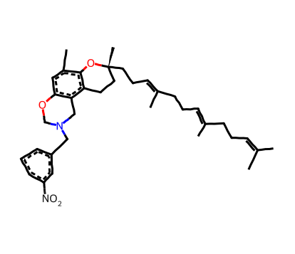 CC(C)=CCC/C(C)=C/CC/C(C)=C/CC[C@]1(C)CCc2c3c(cc(C)c2O1)OCN(Cc1cccc([N+](=O)[O-])c1)C3